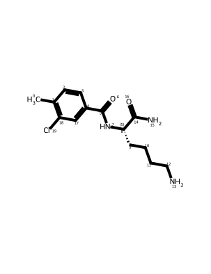 Cc1ccc(C(=O)N[C@@H](CCCCN)C(N)=O)cc1Cl